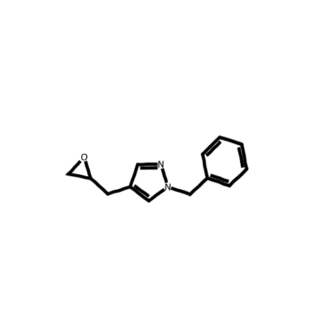 c1ccc(Cn2cc(CC3CO3)cn2)cc1